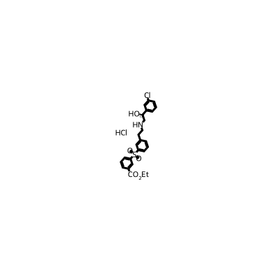 CCOC(=O)c1cccc(S(=O)(=O)c2cccc(CCNC[C@@H](O)c3cccc(Cl)c3)c2)c1.Cl